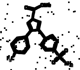 COC(=O)C1C=C(c2ccc(C(F)(F)F)cc2)C(c2ccc(S(N)(=O)=O)nc2)=C1